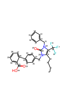 CCCCc1c(C(F)(F)F)n(Cc2ccccc2)c(=O)n1Cc1ccc(-c2ccccc2C(=O)O)cc1